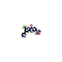 O=C(c1nc2c(C(F)(F)F)cc(-c3cccnc3)cn2c1Cl)N1CCC(N2CCOC2=O)CC1